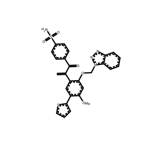 C=C(C(=O)c1ccc(S(N)(=O)=O)cc1)c1cc(-c2cccs2)c(OC)cc1OCn1nnc2ccccc21